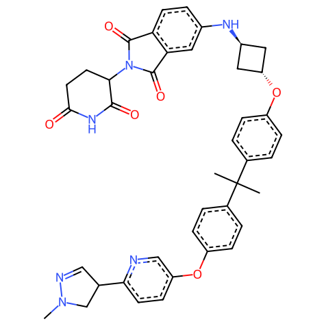 CN1CC(c2ccc(Oc3ccc(C(C)(C)c4ccc(O[C@H]5C[C@H](Nc6ccc7c(c6)C(=O)N(C6CCC(=O)NC6=O)C7=O)C5)cc4)cc3)cn2)C=N1